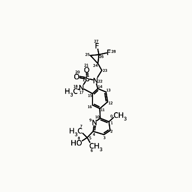 Cc1ccc(C(C)(C)O)nc1-c1ccc2c(c1)N(C)S(=O)(=O)N2CC1CC1(F)F